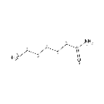 [CH2]CCCCCC(N)=O